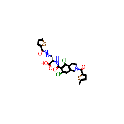 Cc1ccc(C(=O)N2CCc3c(cc(Cl)c(C(=O)N[C@@H](CN=NC(=O)c4cccs4)C(=O)O)c3Cl)C2)s1